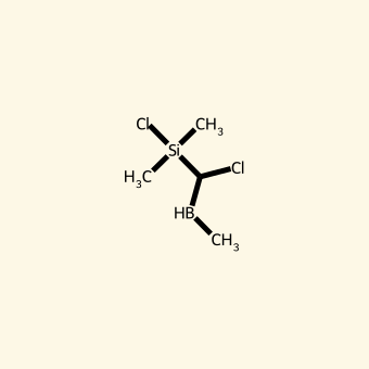 CBC(Cl)[Si](C)(C)Cl